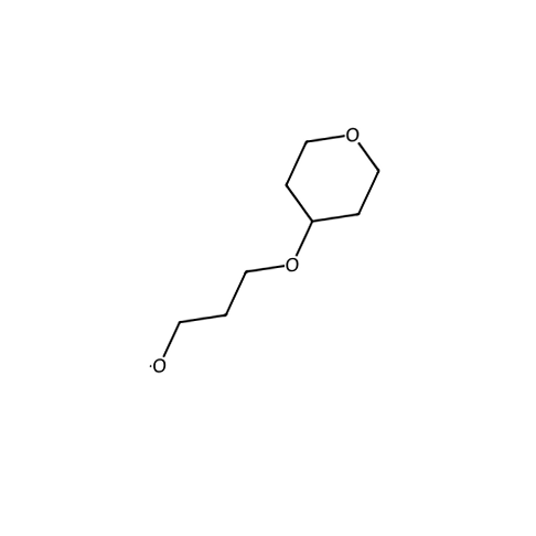 [O]CCCOC1CCOCC1